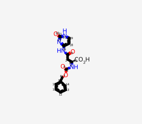 O=C(C[C@H](NC(=O)OCc1ccccc1)C(=O)O)Nc1cc[nH]c(=O)n1